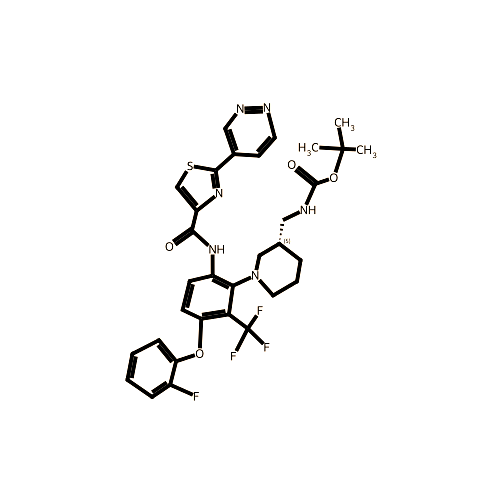 CC(C)(C)OC(=O)NC[C@@H]1CCCN(c2c(NC(=O)c3csc(-c4ccnnc4)n3)ccc(Oc3ccccc3F)c2C(F)(F)F)C1